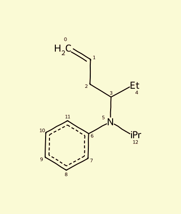 C=CCC(CC)N(c1ccccc1)C(C)C